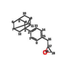 c1cc(C23CC4CC(CC(C4)C2)C3)ccc1CC1CO1